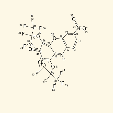 O=c1c(Cl)c(OC(F)(C(F)F)C(F)(F)F)c2nc3ccc([N+](=O)[O-])cc3oc-2c1OC(F)(C(F)F)C(F)(F)F